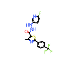 Cc1nc(-c2ccc(C(F)(F)F)cc2)sc1C(=O)NNc1ccc(F)nc1